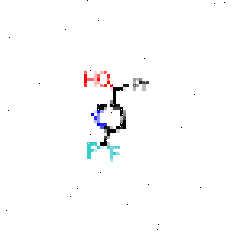 CC(C)C(O)c1ccc(C(F)F)nc1